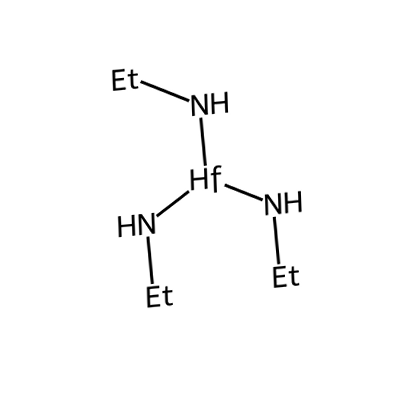 CC[NH][Hf]([NH]CC)[NH]CC